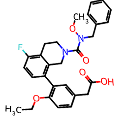 CCOc1ccc(CC(=O)O)cc1-c1ccc(F)c2c1CN(C(=O)N(Cc1ccccc1)OC)CC2